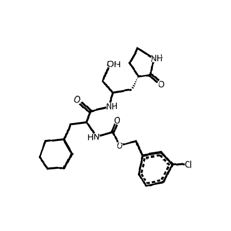 O=C(NC(CC1CCCCC1)C(=O)NC(CO)C[C@@H]1CCNC1=O)OCc1cccc(Cl)c1